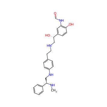 CN[C@H](CNc1ccc(CCNC[C@H](O)c2ccc(O)c(NC=O)c2)cc1)c1ccccc1